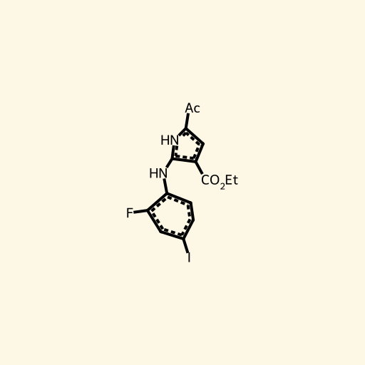 CCOC(=O)c1cc(C(C)=O)[nH]c1Nc1ccc(I)cc1F